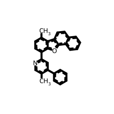 Cc1cnc(-c2ccc(C)c3c2oc2c4ccccc4ccc23)cc1-c1ccccc1